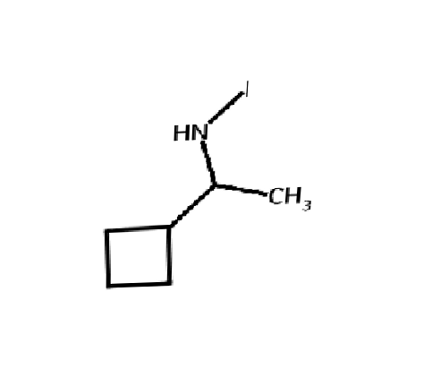 CC(NI)C1CCC1